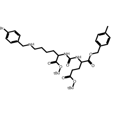 Cc1ccc(COC(=O)C(CCC(=O)OC(C)(C)C)NC(=O)NC(CCCCNCc2ccc(Br)cc2)C(=O)OC(C)(C)C)cc1